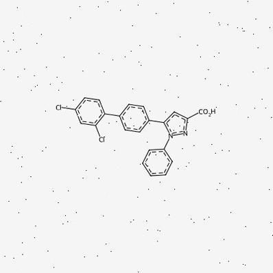 O=C(O)c1cc(-c2ccc(-c3ccc(Cl)cc3Cl)cc2)n(-c2ccccc2)n1